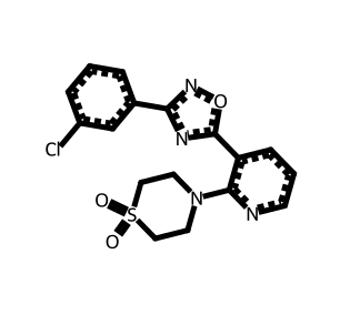 O=S1(=O)CCN(c2ncccc2-c2nc(-c3cccc(Cl)c3)no2)CC1